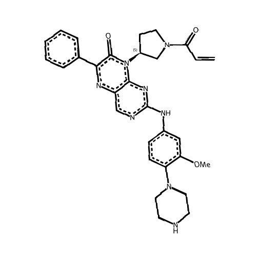 C=CC(=O)N1CC[C@H](n2c(=O)c(-c3ccccc3)nc3cnc(Nc4ccc(N5CCNCC5)c(OC)c4)nc32)C1